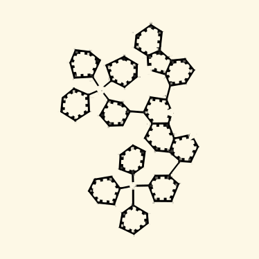 c1ccc([Si](c2ccccc2)(c2ccccc2)c2cccc(-c3ccnc4c3ccc3c(-c5cccc([Si](c6ccccc6)(c6ccccc6)c6ccccc6)c5)cc(-c5cccc6c5oc5ccccc56)nc34)c2)cc1